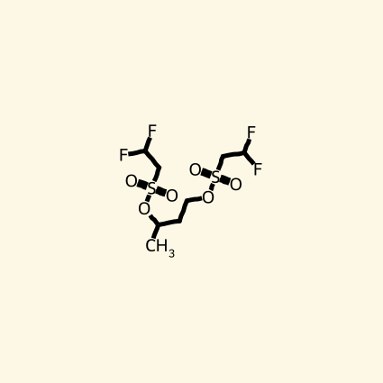 CC(CCOS(=O)(=O)CC(F)F)OS(=O)(=O)CC(F)F